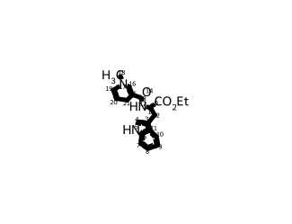 CCOC(=O)C(Cc1c[nH]c2ccccc12)NC(=O)C1=CN(C)C=CC1